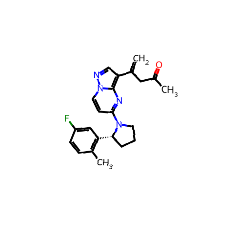 C=C(CC(C)=O)c1cnn2ccc(N3CCC[C@@H]3c3cc(F)ccc3C)nc12